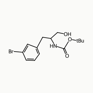 CC(C)(C)OC(=O)NC(CO)Cc1cccc(Br)c1